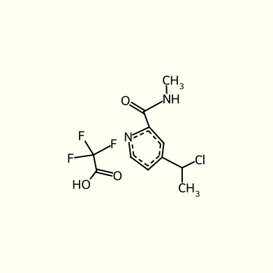 CNC(=O)c1cc(C(C)Cl)ccn1.O=C(O)C(F)(F)F